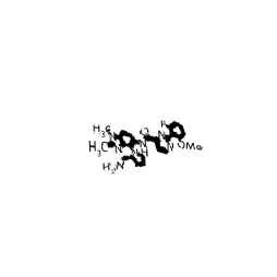 COc1cccc(F)c1-c1nccc(C(=O)Nc2ccc3c(nc(C)n3C)c2N2CCCC2CN)n1